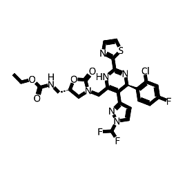 CCOC(=O)NC[C@H]1CN(CC2=C(c3ccn(C(F)F)n3)[C@H](c3ccc(F)cc3Cl)N=C(c3nccs3)N2)C(=O)O1